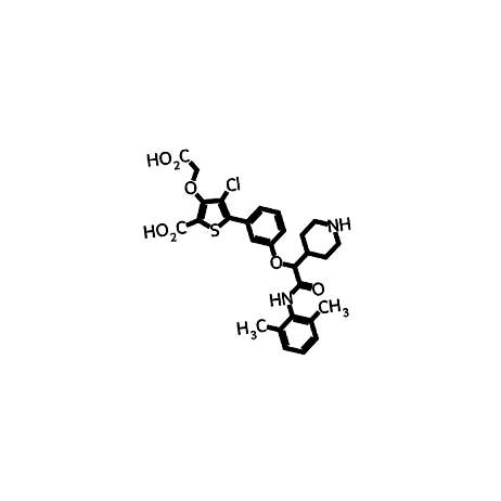 Cc1cccc(C)c1NC(=O)C(Oc1cccc(-c2sc(C(=O)O)c(OCC(=O)O)c2Cl)c1)C1CCNCC1